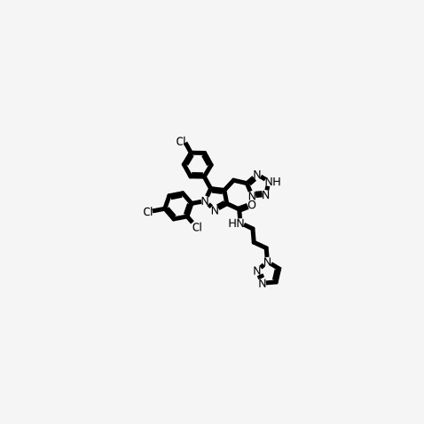 O=C(NCCCn1ccnn1)c1nn(-c2ccc(Cl)cc2Cl)c(-c2ccc(Cl)cc2)c1Cc1nn[nH]n1